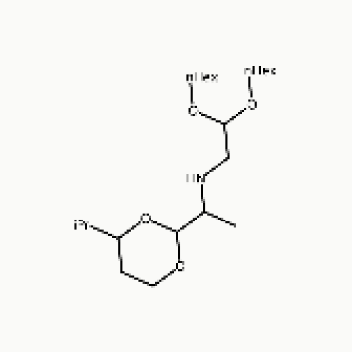 CCCCCCOC(CNC(C)C1OCCC(C(C)C)O1)OCCCCCC